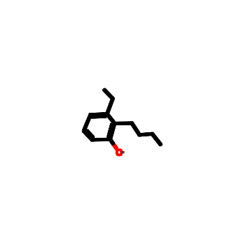 CCCCc1c([O])cccc1CC